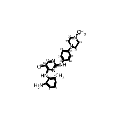 Cc1cccc(N)c1Nc1nc(Nc2ccc(N3CCN(C)CC3)cc2)ncc1Cl